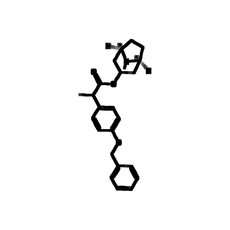 CC(C(=O)OC1C[C@H]2CC[C@@H](C1)N2C)c1ccc(OCc2ccccc2)cc1